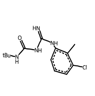 Cc1c(Cl)cccc1NC(=N)NC(=O)NC(C)(C)C